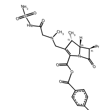 CC(C)[C@H]1C(=O)N2C(C(=O)OC(=O)c3ccc([N+](=O)[O-])cc3)=C(CN(C)CC(=O)NS(N)(=O)=O)[C@H](C)[C@H]12